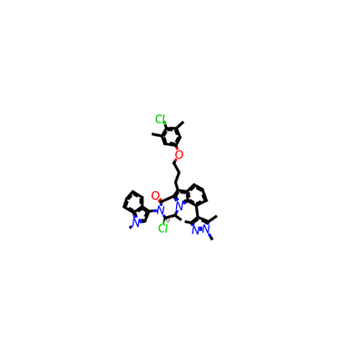 Cc1cc(OCCCc2c3n(c4c(-c5c(C)nn(C)c5C)cccc24)C(C)[C@@H](Cl)N(c2cn(C)c4ccccc24)C3=O)cc(C)c1Cl